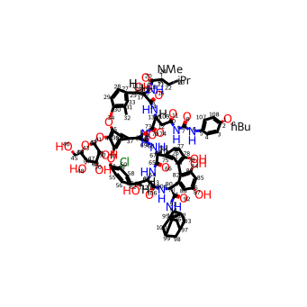 CCCCOc1ccc(NC(=O)NC(=O)C[C@@H]2NC(=O)[C@H](NC(=O)[C@@H](CC(C)C)NC)[C@H](O)c3ccc(c(C)c3)Oc3cc4cc(c3O[C@@H]3O[C@H](CO)[C@@H](O)[C@H](O)[C@H]3O)Oc3ccc(cc3Cl)[C@@H](O)[C@@H]3NC(=O)[C@H](NC(=O)[C@@H]4NC2=O)c2ccc(O)c(c2)-c2c(O)cc(O)cc2[C@@H](C(=O)NC2C4CC5CC(C4)CC2C5)NC3=O)cc1